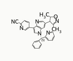 CC1=NOC(C)C1c1cnc2c(-c3ccc(C#N)nc3)cn([C@@H](c3ccccc3)c3ccccn3)c2c1